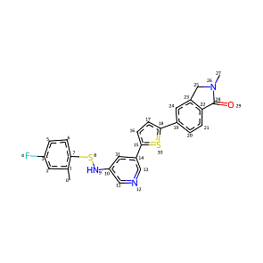 Cc1cc(F)ccc1SNc1cncc(-c2ccc(-c3ccc4c(c3)CN(C)C4=O)s2)c1